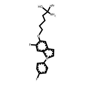 CCCC(N)(O)CCCCOc1cc2ccn(-c3ccc(F)cc3)c2cc1F